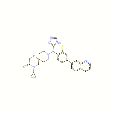 O=C1COC2(CCN(C(c3nnc[nH]3)c3ccc(-c4ccc5cccnc5c4)cc3F)CC2)CN1C1CC1